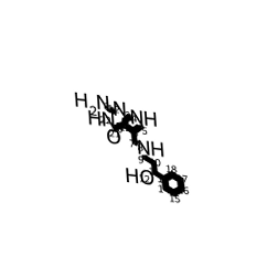 Nc1nc2[nH]cc(CNCC[C@H](O)c3ccccc3)c2c(=O)[nH]1